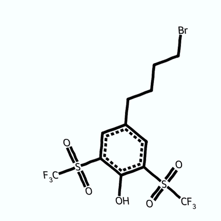 O=S(=O)(c1cc(CCCCBr)cc(S(=O)(=O)C(F)(F)F)c1O)C(F)(F)F